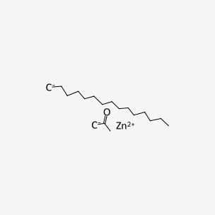 [CH2-]C(C)=O.[CH2-]CCCCCCCCCCCCCC.[Zn+2]